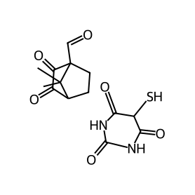 CC1(C)C2CCC1(C=O)C(=O)C2=O.O=C1NC(=O)C(S)C(=O)N1